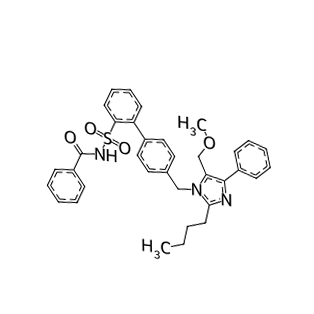 CCCCc1nc(-c2ccccc2)c(COC)n1Cc1ccc(-c2ccccc2S(=O)(=O)NC(=O)c2ccccc2)cc1